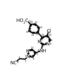 N#CCCn1cc(Nc2ncc(Cl)c(-c3ccc(C(=O)O)cc3)n2)cn1